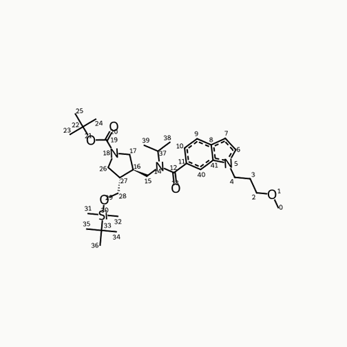 COCCCn1ccc2ccc(C(=O)N(C[C@@H]3CN(C(=O)OC(C)(C)C)C[C@H]3CO[Si](C)(C)C(C)(C)C)C(C)C)cc21